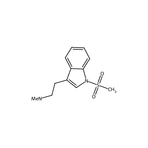 CNCCc1cn(S(C)(=O)=O)c2ccccc12